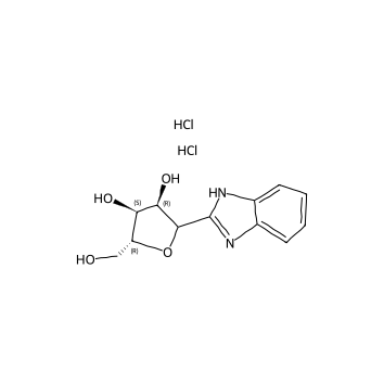 Cl.Cl.OC[C@H]1OC(c2nc3ccccc3[nH]2)[C@H](O)[C@@H]1O